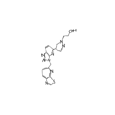 OCCN1CC(c2ccc3nnn(Cc4ccc5ncsc5n4)c3n2)C=N1